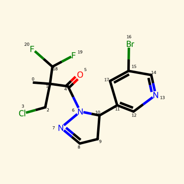 CC(CCl)(C(=O)N1N=CCC1c1cncc(Br)c1)C(F)F